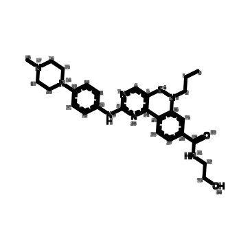 CCCN1Sc2cnc(Nc3ccc(N4CCN(C)CC4)cc3)nc2-c2ccc(C(=O)NCCO)cc21